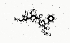 CC(C)Cc1cc(-c2nnc(C(=O)N3CCN(C(=O)OC(C)(C)C)[C@@H](Cc4ccccc4)C3)cc2CC(C)C)[nH]n1